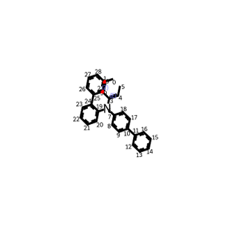 C/C=C\C(=C/C)N(c1ccc(-c2ccccc2)cc1)c1ccccc1-c1ccccc1